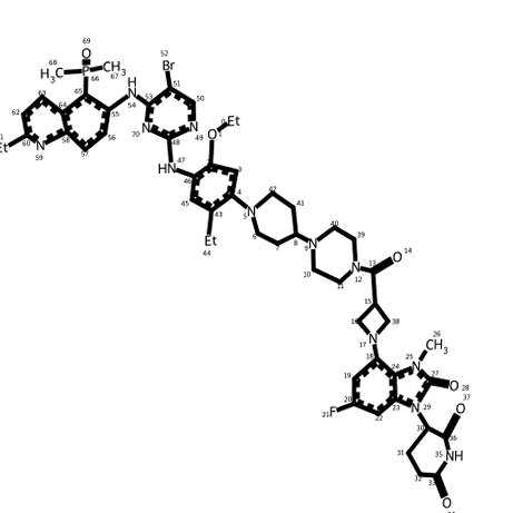 CCOc1cc(N2CCC(N3CCN(C(=O)C4CN(c5cc(F)cc6c5n(C)c(=O)n6C5CCC(=O)NC5=O)C4)CC3)CC2)c(CC)cc1Nc1ncc(Br)c(Nc2ccc3nc(CC)ccc3c2P(C)(C)=O)n1